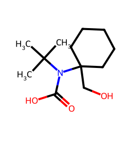 CC(C)(C)N(C(=O)O)C1(CO)CCCCC1